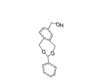 OCc1ccc2c(c1)COC(c1ccccc1)OC2